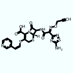 C#CCON=C(C(=O)NC1C(=O)N2C(C(=O)O)=C(S/C=C\c3cccnc3)CS[C@@H]12)c1nsc(N)n1